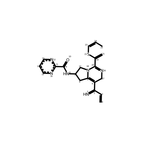 C=CC(=N)C1=C2CC(NC(=O)c3ncccn3)CN2C(C(=C)S/C=C\C)=NC1